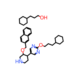 OCCCC1CCCCC1.c1ccc2cc(COC3CNCCC3c3cnc(OCCCC4CCCCC4)nc3)ccc2c1